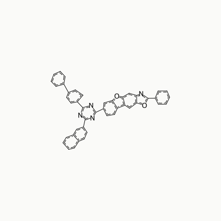 c1ccc(-c2ccc(-c3nc(-c4ccc5ccccc5c4)nc(-c4ccc5c(c4)oc4cc6nc(-c7ccccc7)oc6cc45)n3)cc2)cc1